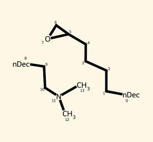 CCCCCCCCCCCCCCC1CO1.CCCCCCCCCCCCN(C)C